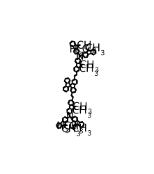 C=C1c2ccccc2-c2ccc(N(c3ccc4c(c3)C(C)(C)c3ccccc3-4)c3ccc4c(c3)C(C)(C)c3cc(/C=C/c5ccc6c(c5)C5(c7ccccc7-c7ccccc75)c5cc(/C=C/c7ccc8c(c7)C(C)(C)c7cc(N(c9ccc%10c(c9)C(C)(C)c9ccccc9-%10)c9ccc%10c(c9)C(C)(C)c9ccccc9-%10)ccc7-8)ccc5-6)ccc3-4)cc21